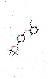 CCc1cccc(F)c1Oc1ccc(B2OC(C)(C)C(C)(C)O2)cc1